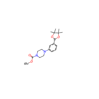 CC(C)(C)OC(=O)N1CCN(c2cccc(B3OC(C)(C)C(C)(C)O3)c2)CC1